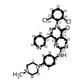 CN1CCN(c2ccc(Nc3ncc4c(=O)n(-c5c(Cl)cccc5Cl)nc(-c5cccnc5)c4n3)cc2)CC1